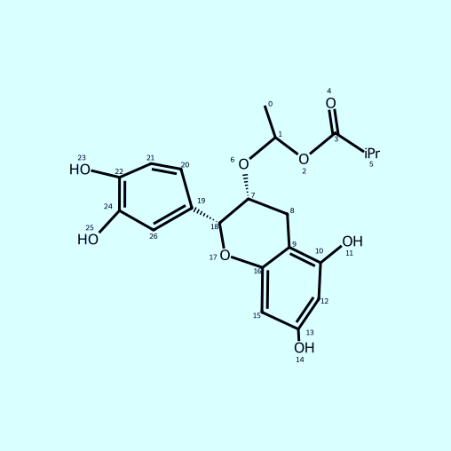 CC(OC(=O)C(C)C)O[C@@H]1Cc2c(O)cc(O)cc2O[C@@H]1c1ccc(O)c(O)c1